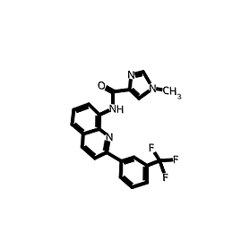 Cn1cnc(C(=O)Nc2cccc3ccc(-c4cccc(C(F)(F)F)c4)nc23)c1